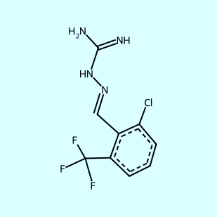 N=C(N)NN=Cc1c(Cl)cccc1C(F)(F)F